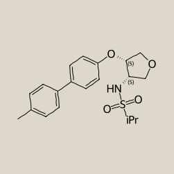 Cc1ccc(-c2ccc(O[C@@H]3COC[C@@H]3NS(=O)(=O)C(C)C)cc2)cc1